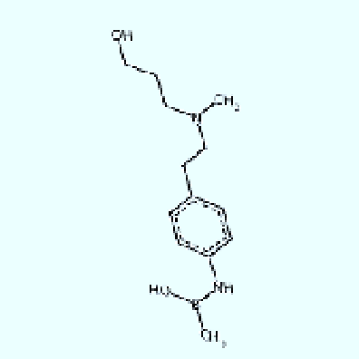 CB(O)Nc1ccc(CCN(C)CCCO)cc1